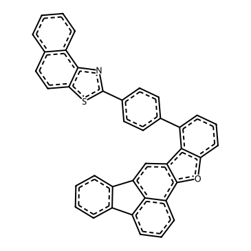 c1ccc2c(c1)-c1cccc3c1c-2cc1c3oc2cccc(-c3ccc(-c4nc5c(ccc6ccccc65)s4)cc3)c21